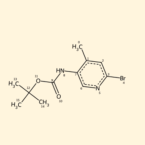 Cc1cc(Br)ncc1NC(=O)OC(C)(C)C